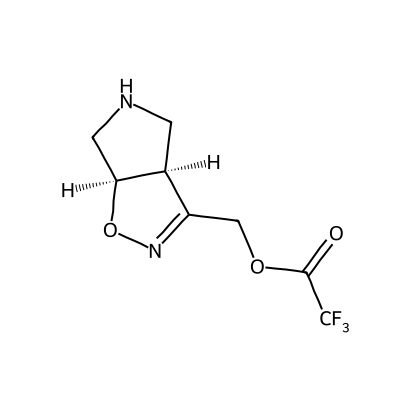 O=C(OCC1=NO[C@H]2CNC[C@@H]12)C(F)(F)F